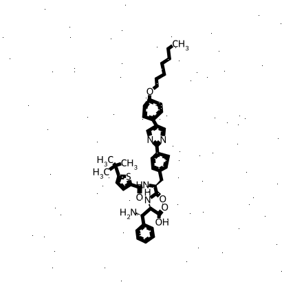 CCCCCCCOc1ccc(-c2cnc(-c3ccc(C[C@H](NC(=O)c4ccc(C(C)(C)C)s4)C(=O)N[C@H](C(=O)O)[C@@H](N)c4ccccc4)cc3)nc2)cc1